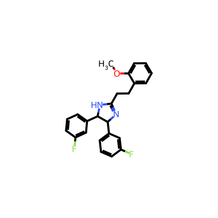 COc1ccccc1CCC1=NC(c2cccc(F)c2)C(c2cccc(F)c2)N1